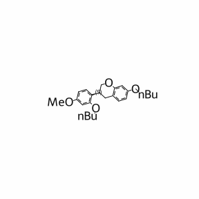 CCCCOc1ccc2c(c1)OC[C@H](c1ccc(OC)cc1OCCCC)C2